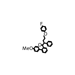 COc1ccc(-c2ccccc2C(=O)C(CCCOc2ccc(F)cc2)c2ccccc2)cc1